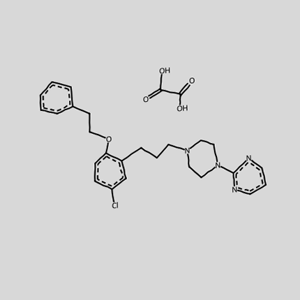 Clc1ccc(OCCc2ccccc2)c(CCCN2CCN(c3ncccn3)CC2)c1.O=C(O)C(=O)O